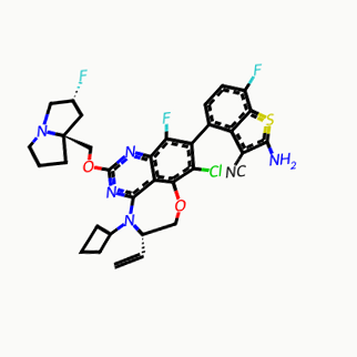 C=C[C@H]1COc2c(Cl)c(-c3ccc(F)c4sc(N)c(C#N)c34)c(F)c3nc(OC[C@@]45CCCN4C[C@H](F)C5)nc(c23)N1C1CCC1